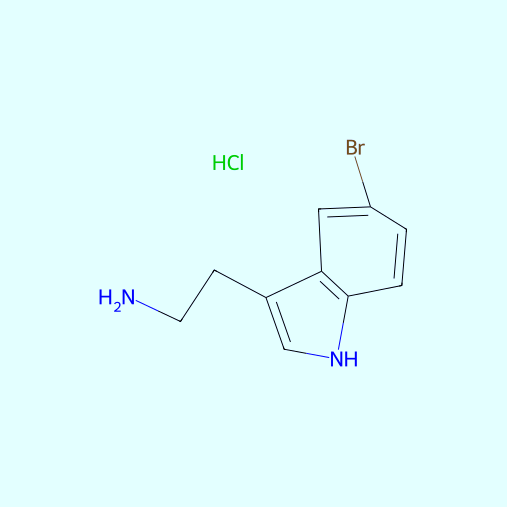 Cl.NCCc1c[nH]c2ccc(Br)cc12